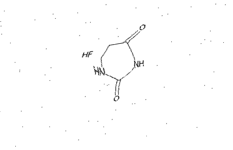 F.O=C1CNC(=O)N1